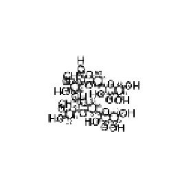 COc1cc(C2Oc3cc(C4Oc5cc(O)cc(O)c5C(=O)C4O)ccc3OC2CO)ccc1O.COc1cc([C@H]2Oc3cc([C@H]4Oc5cc(O)cc(O)c5C(=O)[C@@H]4O)ccc3O[C@@H]2CO)ccc1O